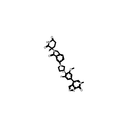 COc1cc(-c2cn(C)c(=O)c3sncc23)cc(F)c1[C@H]1CCN(c2ccc3c(c2)C(=O)N(C2(I)CCC(=O)NC2=O)C3)C1